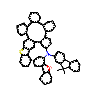 CC1(C)c2ccccc2-c2ccc(N(c3ccc4c5ccccc5c5ccccc5c5ccccc5c5cc6sc7ccccc7c6cc5c4c3)c3cccc4c3oc3ccccc34)cc21